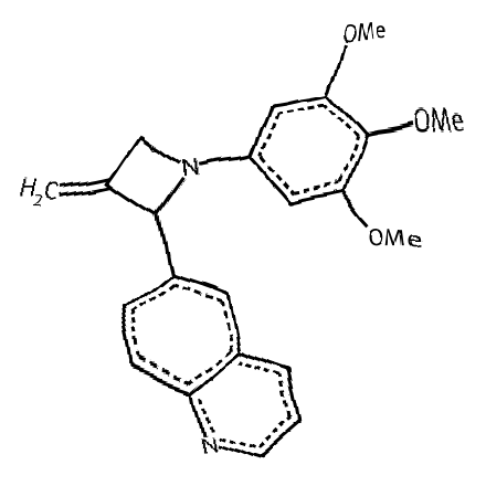 C=C1CN(c2cc(OC)c(OC)c(OC)c2)C1c1ccc2ncccc2c1